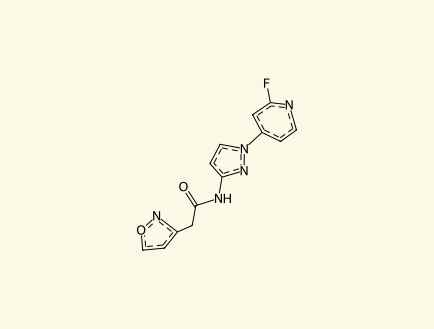 O=C(Cc1ccon1)Nc1ccn(-c2ccnc(F)c2)n1